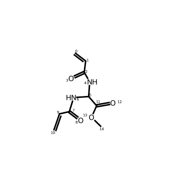 C=CC(=O)NC(NC(=O)C=C)C(=O)OC